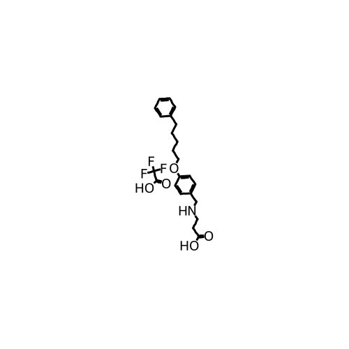 O=C(O)C(F)(F)F.O=C(O)CCNCc1ccc(OCCCCCc2ccccc2)cc1